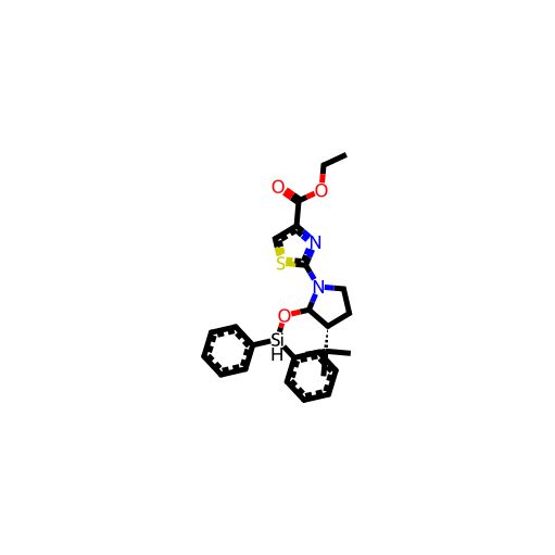 CCOC(=O)c1csc(N2CC[C@H](C(C)(C)C)C2O[SiH](c2ccccc2)c2ccccc2)n1